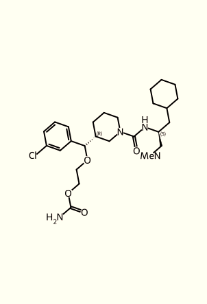 CNC[C@H](CC1CCCCC1)NC(=O)N1CCC[C@@H](C(OCCOC(N)=O)c2cccc(Cl)c2)C1